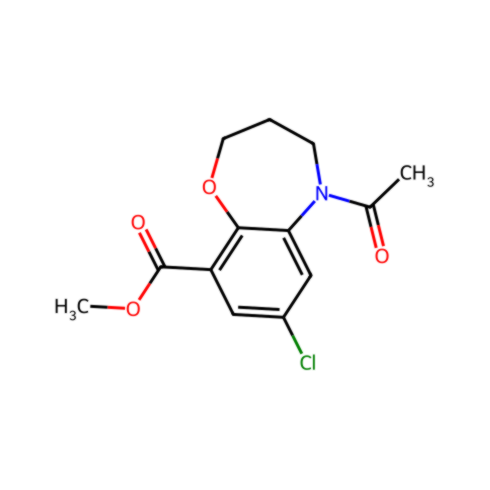 COC(=O)c1cc(Cl)cc2c1OCCCN2C(C)=O